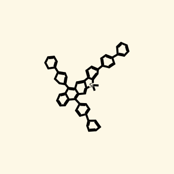 C[Si]1(C)c2cc(-c3ccc(-c4ccccc4)cc3)ccc2-c2cc3c(C4=CC=C(C5=CC=CCC5)CC4)c4ccccc4c(-c4ccc(-c5ccccc5)cc4)c3cc21